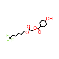 O=C(COC(=O)C1CCC(O)CC1)OCCCCCC(F)(F)F